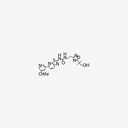 COc1cncc(-c2ccc3nc(NC(=O)NCCc4noc(C(C)(C)CO)n4)sc3n2)c1